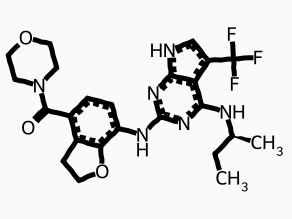 CC[C@H](C)Nc1nc(Nc2ccc(C(=O)N3CCOCC3)c3c2OCC3)nc2[nH]cc(C(F)(F)F)c12